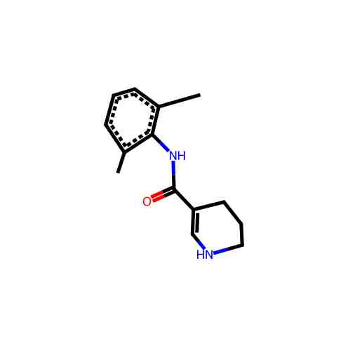 Cc1cccc(C)c1NC(=O)C1=CNCCC1